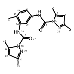 Cc1cc(C)n(C(=O)Nc2ccc(C)c(NC(=O)n3nc(C)cc3C)c2)n1